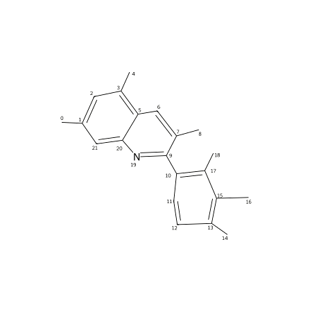 Cc1cc(C)c2cc(C)c(-c3ccc(C)c(C)c3C)nc2c1